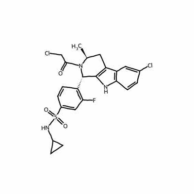 C[C@H]1Cc2c([nH]c3ccc(Cl)cc23)[C@H](c2ccc(S(=O)(=O)NC3CC3)cc2F)N1C(=O)CCl